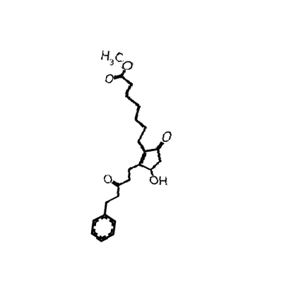 COC(=O)CCCCCCC1=C(CCC(=O)CCc2ccccc2)C(O)CC1=O